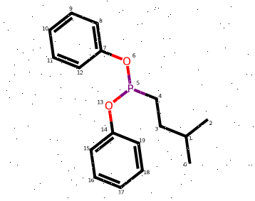 CC(C)CCP(Oc1ccccc1)Oc1ccccc1